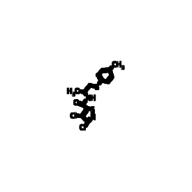 Cc1ccc(SCC(C)NC(=O)c2snc(Cl)c2Cl)cc1